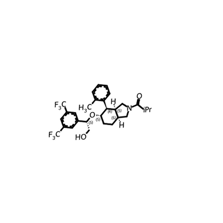 Cc1ccccc1[C@H]1[C@H]2CN(C(=O)C(C)C)C[C@H]2CC[C@@H]1O[C@H](CO)c1cc(C(F)(F)F)cc(C(F)(F)F)c1